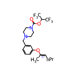 CCC/C=C(\C)Oc1cccc(CN2CCN(C(=O)OC(C(F)(F)F)C(F)(F)F)CC2)c1